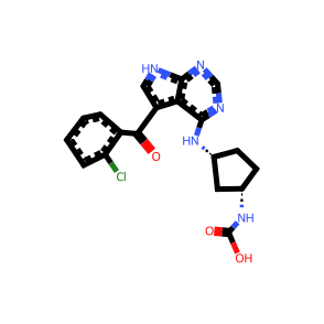 O=C(O)N[C@H]1CC[C@@H](Nc2ncnc3[nH]cc(C(=O)c4ccccc4Cl)c23)C1